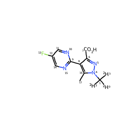 [2H]C([2H])([2H])n1nc(C(=O)O)c(-c2ncc(F)cn2)c1C